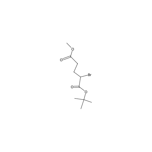 COC(=O)CCC(Br)C(=O)OC(C)(C)C